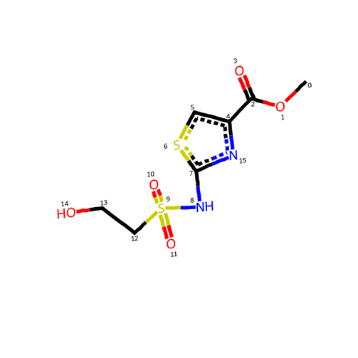 COC(=O)c1csc(NS(=O)(=O)CCO)n1